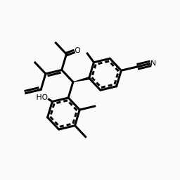 C=C/C(C)=C(/C(C)=O)[C@@H](c1ccc(C#N)cc1C)c1c(O)ccc(C)c1C